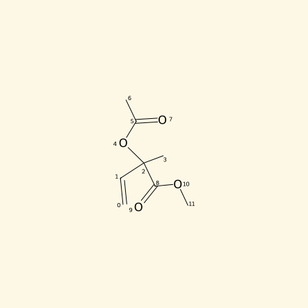 C=CC(C)(OC(C)=O)C(=O)OC